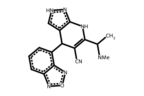 CNC(C)C1=C(C#N)C(c2cccc3nonc23)c2c[nH]nc2N1